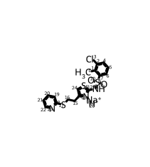 Cc1c(Cl)cccc1S(=O)(=O)Nc1nc(CCSc2ccccn2)cs1.[H-].[Na+]